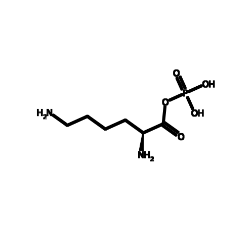 NCCCC[C@H](N)C(=O)OP(=O)(O)O